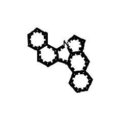 c1ccc2c(c1)cc1ccn3c4c5ccccc5ccc4c2c13